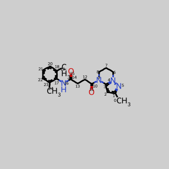 Cc1cc2n(n1)CCCN2C(=O)CCC(=O)Nc1c(C)cccc1C